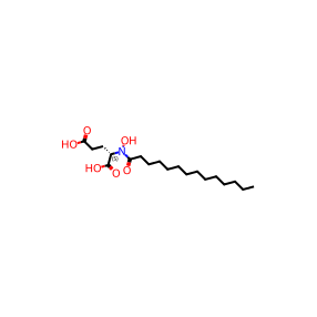 CCCCCCCCCCCCCC(=O)N(O)[C@@H](CCC(=O)O)C(=O)O